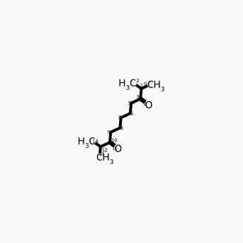 CC(C)C(=O)CCCCCC(=O)C(C)C